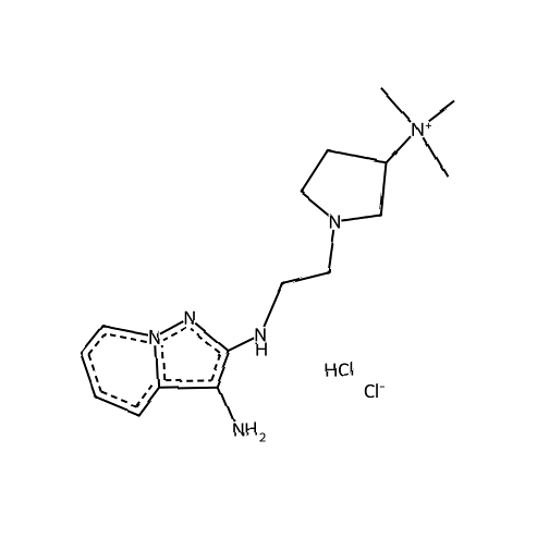 C[N+](C)(C)C1CCN(CCNc2nn3ccccc3c2N)C1.Cl.[Cl-]